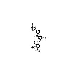 CCCc1c(OCc2cccc([S+]([O-])c3cccc(-c4nn[nH]n4)c3)c2)ccc(C(C)=O)c1O.[Na]